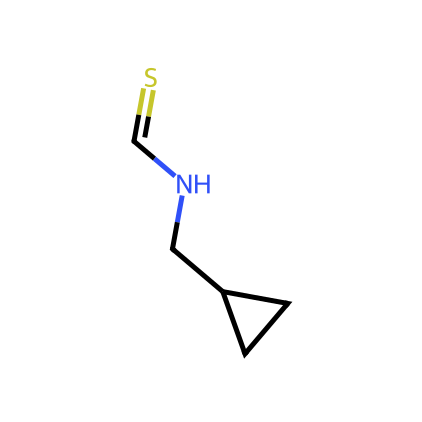 S=CNCC1CC1